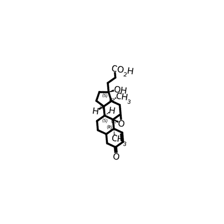 C[C@]12C=CC(=O)CC1CC[C@H]1[C@@H]3CC[C@](O)(CCC(=O)O)[C@@]3(C)CC3O[C@]312